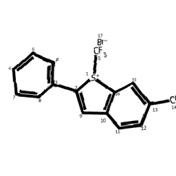 FC(F)(F)[s+]1c(-c2ccccc2)cc2ccc(Cl)cc21.[Br-]